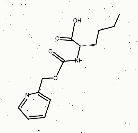 CCCC[C@H](NC(=O)OCc1ccccn1)C(=O)O